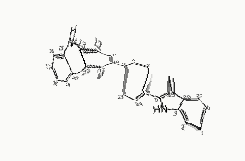 c1ccc2[nH]c(-c3ccc(-c4ccc5[nH]c6ccccc6c5c4)cc3)nc2c1